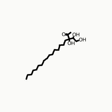 CCCCCCCCCCCCCCCCC(O)(C(C)=O)C(O)CO